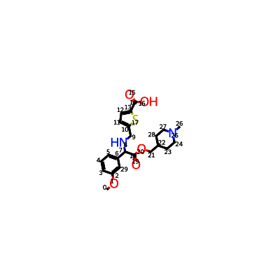 COc1cccc(C(NCc2ccc(C(=O)O)s2)C(=O)OCC2CCN(C)CC2)c1